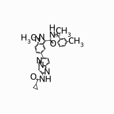 Cc1cccc([C@H](C)NC(=O)c2nn(C)c3ccc(-c4ccc5nc(NC(=O)C6CC6)cn5n4)cc23)c1